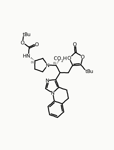 CC(C)(C)OC(=O)N[C@H]1CCN([C@H](C(=O)O)C(Cc2oc(=O)oc2C(C)(C)C)c2ncn3c2CCc2ccccc2-3)C1